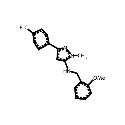 COc1ccccc1CNc1cc(-c2ccc(C(F)(F)F)cc2)nn1C